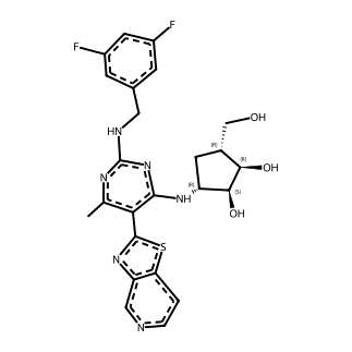 Cc1nc(NCc2cc(F)cc(F)c2)nc(N[C@@H]2C[C@H](CO)[C@@H](O)[C@H]2O)c1-c1nc2cnccc2s1